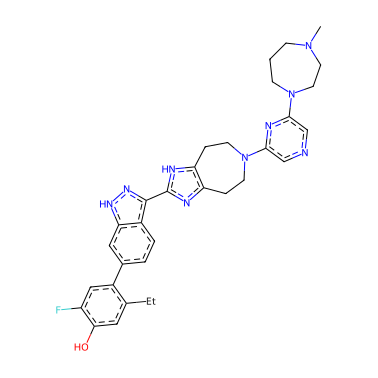 CCc1cc(O)c(F)cc1-c1ccc2c(-c3nc4c([nH]3)CCN(c3cncc(N5CCCN(C)CC5)n3)CC4)n[nH]c2c1